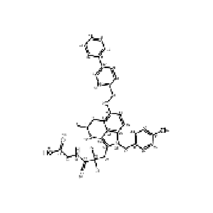 CC1Cc2c(OCc3ccc(-c4ccccc4)cn3)ccc3c2c(c(CC(C)(C)C(=O)NCC(=O)O)n3Cc2ccc(Cl)cc2)S1